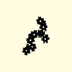 c1ccc(-c2nc(-c3ccc4sc5ccccc5c4c3)nc(-c3ccc4sc5ccc(-c6cccc7c6sc6ccccc67)cc5c4c3)n2)cc1